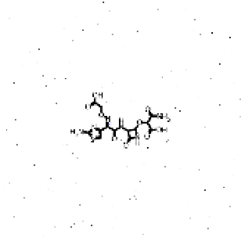 NC(=O)C(OC1NC(=O)C1NC(=O)/C(=N/OCC(=O)O)c1csc(N)n1)C(=O)O